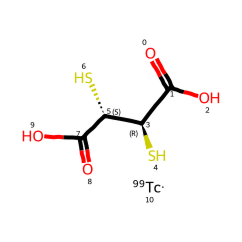 O=C(O)[C@@H](S)[C@@H](S)C(=O)O.[99Tc]